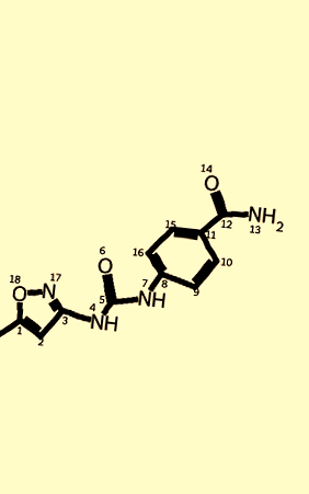 CC(C)(C)c1cc(NC(=O)Nc2ccc(C(N)=O)cc2)no1